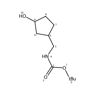 CC(C)(C)OC(=O)NCC1CCC(O)C1